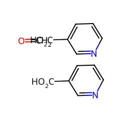 C=O.O=C(O)c1cccnc1.O=C(O)c1cccnc1